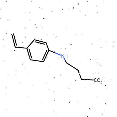 C=Cc1ccc(NCCCC(=O)O)cc1